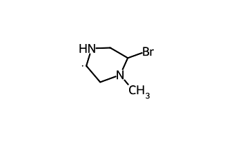 CN1C[CH]NCC1Br